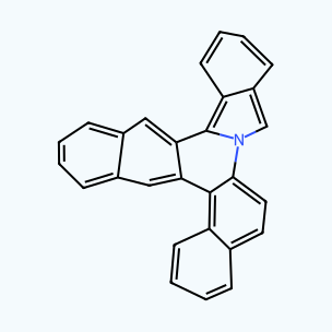 c1ccc2cc3c(cc2c1)c1c2ccccc2ccc1n1cc2ccccc2c31